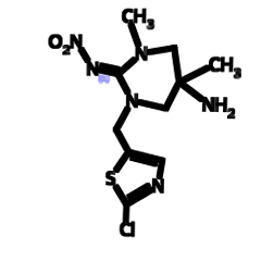 CN1CC(C)(N)CN(Cc2cnc(Cl)s2)/C1=N/[N+](=O)[O-]